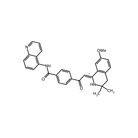 COc1ccc2c(c1)/C(=C/C(=O)c1ccc(C(=O)Nc3cccc4ncccc34)cc1)NC(C)(C)C2